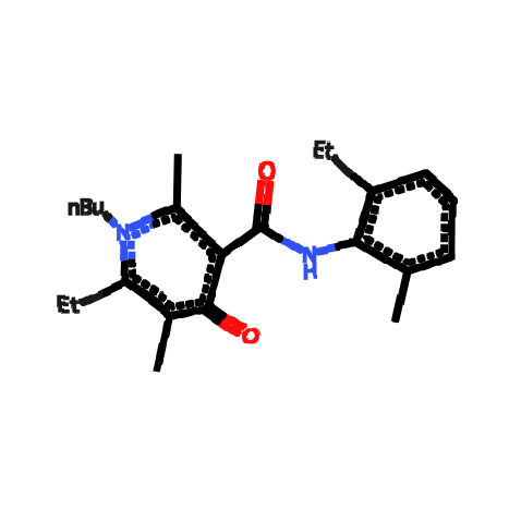 CCCCn1c(C)c(C(=O)Nc2c(C)cccc2CC)c(=O)c(C)c1CC